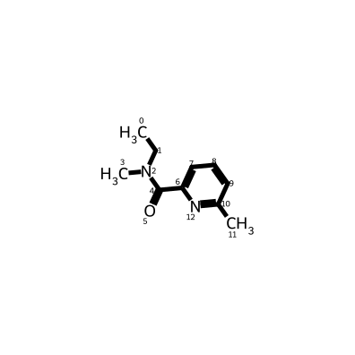 CCN(C)C(=O)c1cccc(C)n1